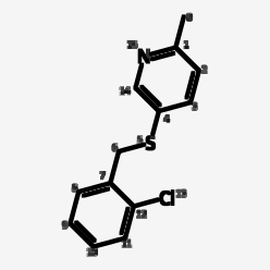 Cc1ccc(SCc2ccccc2Cl)cn1